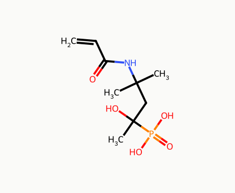 C=CC(=O)NC(C)(C)CC(C)(O)P(=O)(O)O